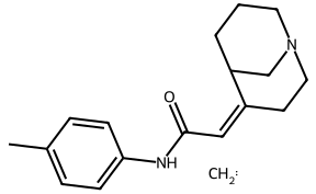 Cc1ccc(NC(=O)C=C2CCN3CCCC2C3)cc1.[CH2]